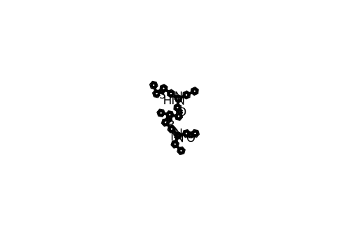 c1ccc(-c2ccc(C3=NC(c4ccc(-c5cccc6c5sc5cccc(-c7ccccc7)c56)cc4)NC(c4ccc5c(c4)oc4cccc(-c6ccc(-c7ccccc7)c7c6sc6c(-c8ccc(-c9nc(-c%10cccc(-c%11ccccc%11)c%10)nc(-c%10ccc%11c(c%10)oc%10ccccc%10%11)n9)cc8)cccc67)c45)=N3)cc2)cc1